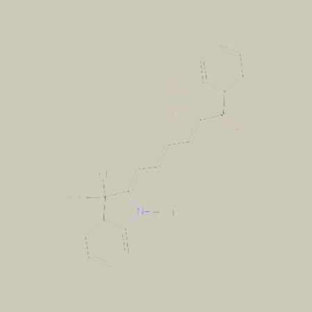 CN1\C(=C/C=C/C=C2/C(=O)c3ccccc3S2(=O)=O)C(C)(C)c2ccccc21